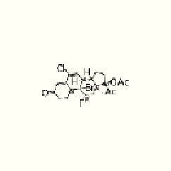 CC(=O)O[C@]1(C(C)=O)CC[C@H]2[C@@H]3C=C(Cl)C4=CC(=O)CC[C@]4(C)C3(Br)[C@@H](F)C[C@@]21C